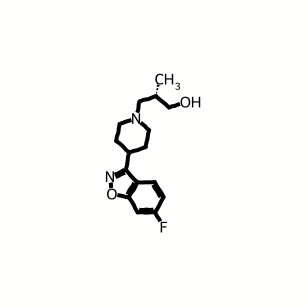 C[C@H](CO)CN1CCC(c2noc3cc(F)ccc23)CC1